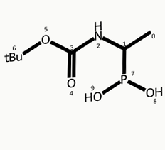 CC(NC(=O)OC(C)(C)C)P(O)O